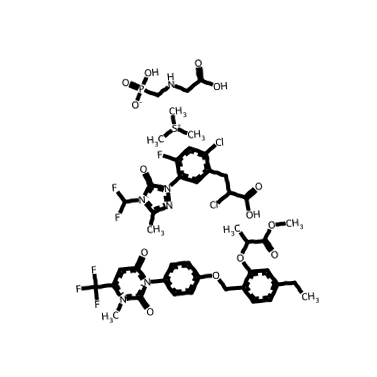 CCc1ccc(COc2ccc(-n3c(=O)cc(C(F)(F)F)n(C)c3=O)cc2)c(OC(C)C(=O)OC)c1.C[S+](C)C.Cc1nn(-c2cc(CC(Cl)C(=O)O)c(Cl)cc2F)c(=O)n1C(F)F.O=C(O)CNCP(=O)([O-])O